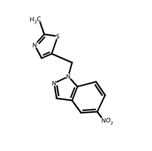 Cc1ncc(Cn2ncc3cc([N+](=O)[O-])ccc32)s1